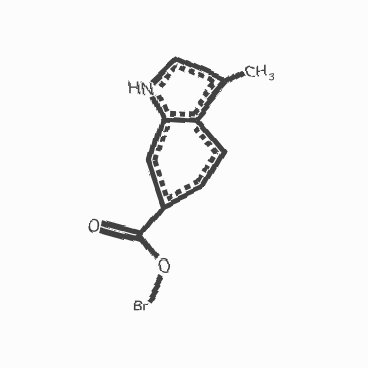 Cc1c[nH]c2cc(C(=O)OBr)ccc12